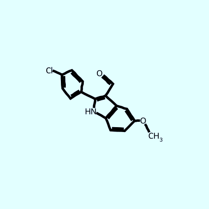 COc1ccc2[nH]c(-c3ccc(Cl)cc3)c(C=O)c2c1